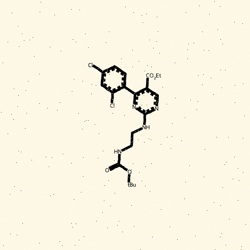 CCOC(=O)c1cnc(NCCNC(=O)OC(C)(C)C)nc1-c1ccc(Cl)cc1Cl